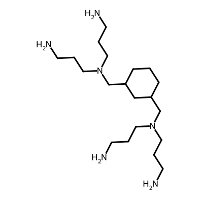 NCCCN(CCCN)CC1CCCC(CN(CCCN)CCCN)C1